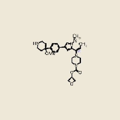 C=Nn1cc(-c2ccc(C3(OC)CCNCC3)cc2)cc1/C(=C\C)N1CCN(C(=O)OC2COC2)CC1